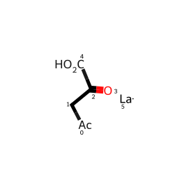 CC(=O)CC(=O)C(=O)O.[La]